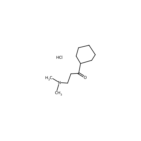 CN(C)CCC(=O)C1CCCCC1.Cl